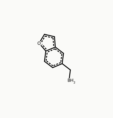 BCc1ccc2occc2c1